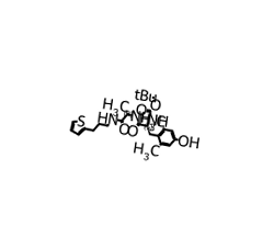 Cc1cc(O)cc(C)c1C[C@H](NC(=O)OC(C)(C)C)C(=O)N[C@H](C)C(=O)NCCCc1cccs1